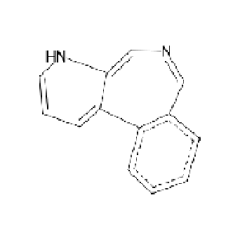 C1=CNC2=CN=Cc3ccccc3C2=C1